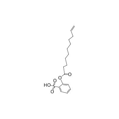 C=CCCCCCCCCC(=O)Oc1ccccc1S(=O)(=O)O